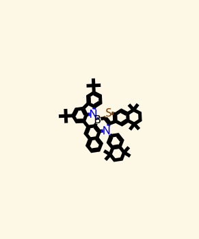 CC(C)(C)c1ccc2c(c1)c1cc(C(C)(C)C)cc3c1n2B1c2sc4cc5c(cc4c2N(c2ccc4c(c2)C(C)(C)CCC4(C)C)c2c1c-3cc1ccccc21)C(C)(C)CCC5(C)C